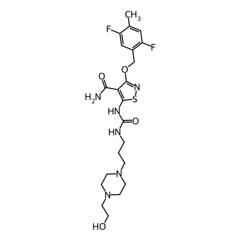 Cc1cc(F)c(COc2nsc(NC(=O)NCCCN3CCN(CCO)CC3)c2C(N)=O)cc1F